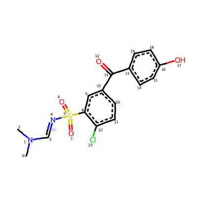 CN(C)/C=N/S(=O)(=O)c1cc(C(=O)c2ccc(O)cc2)ccc1Cl